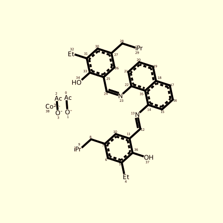 CC(=O)[O-].CC(=O)[O-].CCc1cc(CC(C)C)cc(C=Nc2cccc3cccc(N=Cc4cc(CC(C)C)cc(CC)c4O)c23)c1O.[Co+2]